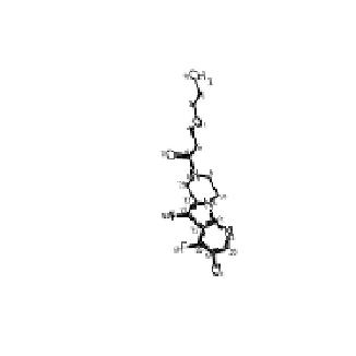 CCCOCCC(=O)N1CCn2c(c(F)c3c(F)c(Cl)cnc32)C1